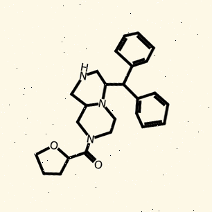 O=C(C1CCCO1)N1CCN2C(CNCC2C(c2ccccc2)c2ccccc2)C1